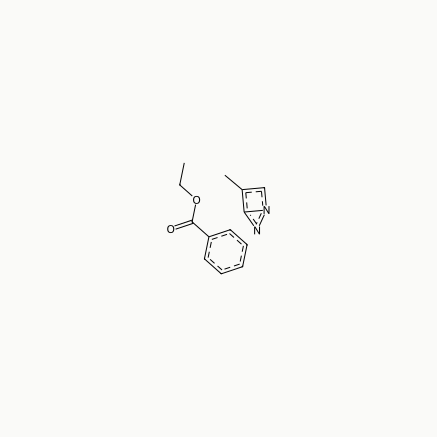 CCOC(=O)c1ccccc1.Cc1cn2nc1-2